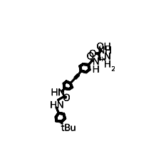 CC(C)(C)c1ccc(CNCC(=O)Nc2ccc(C#Cc3ccc(C(=O)N[C@@H](CN)C(=O)NO)cc3)cc2)cc1